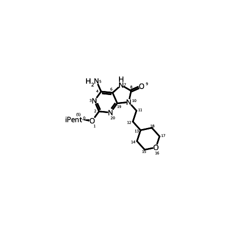 CCC[C@H](C)Oc1nc(N)c2[nH]c(=O)n(CCC3CCOCC3)c2n1